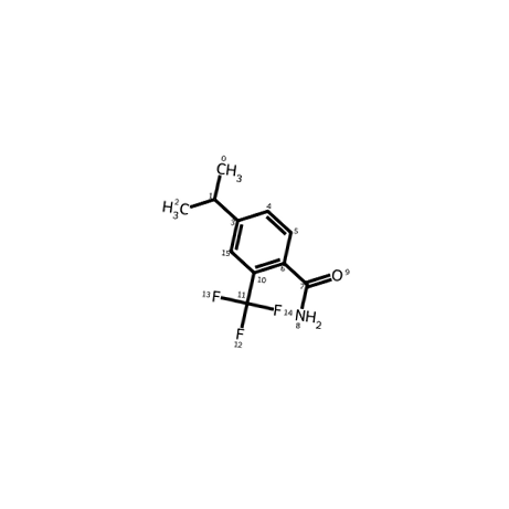 CC(C)c1ccc(C(N)=O)c(C(F)(F)F)c1